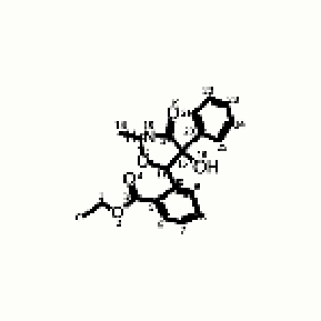 CCOC(=O)c1ccccc1C(OCC)C(O)(C(N)=O)c1ccccc1